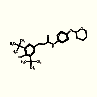 CC(C)(C)c1cc(CCC(=O)Nc2ccc(OP3OCCCO3)cc2)cc(C(C)(C)C)c1O